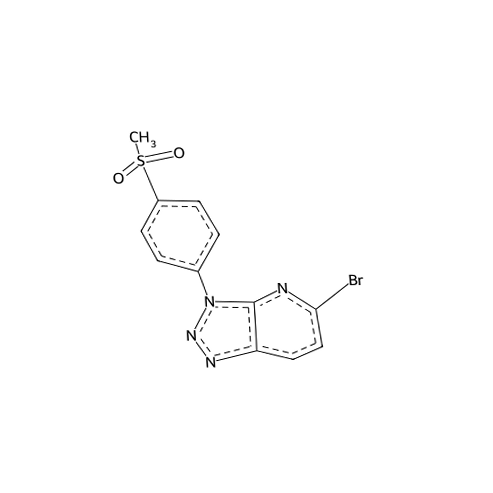 CS(=O)(=O)c1ccc(-n2nnc3ccc(Br)nc32)cc1